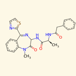 C[C@H](NC(=O)Cc1ccccc1)C(=O)NC1N=C(c2nccs2)c2ccccc2N(C)C1=O